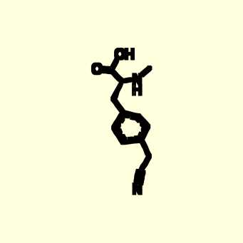 CN[C@@H](Cc1ccc(CC#N)cc1)C(=O)O